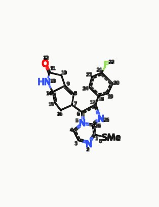 CSc1nccn2c(C3C=C4CC(=O)NC4=CC3)c(-c3ccc(F)cc3)nc12